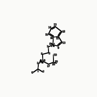 CC(C)[CH2][Al]([CH2]CCn1ccc2ccccc21)[CH2]C(C)C